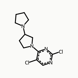 Clc1ncc(Cl)c(N2CCC(N3CCCC3)C2)n1